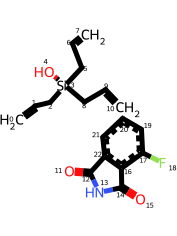 C=CC[Si](O)(CC=C)CC=C.O=C1NC(=O)c2c(F)cccc21